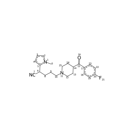 Cn1cccc1C(C#N)CCCN1CCC(C(=O)c2ccc(F)cc2)CC1